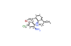 Cc1cccc(C(C)C)c1Nc1cc(Br)c(Cl)cc1N